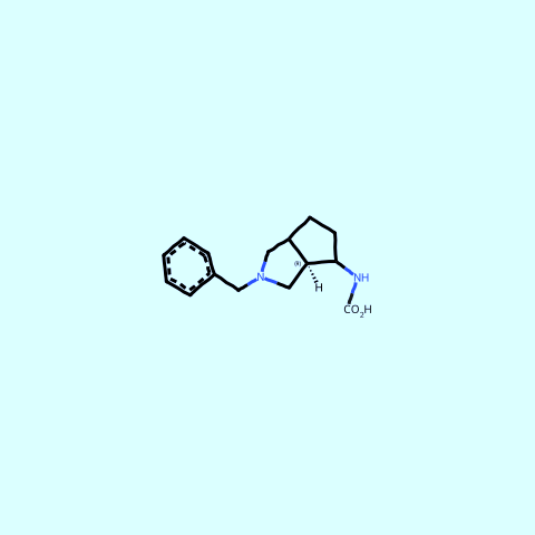 O=C(O)NC1CCC2CN(Cc3ccccc3)C[C@@H]21